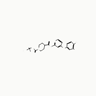 Cc1cc(Oc2ccnc(NC(=O)C3CCN(C(=O)OC(C)(C)C)CC3)c2)ccc1N